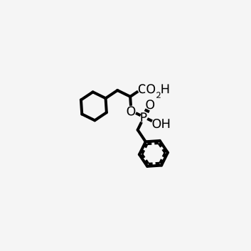 O=C(O)C(CC1CCCCC1)OP(=O)(O)Cc1ccccc1